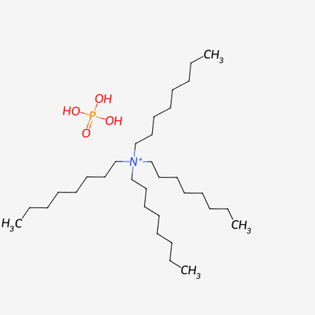 CCCCCCCC[N+](CCCCCCCC)(CCCCCCCC)CCCCCCCC.O=P(O)(O)O